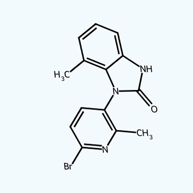 Cc1nc(Br)ccc1-n1c(=O)[nH]c2cccc(C)c21